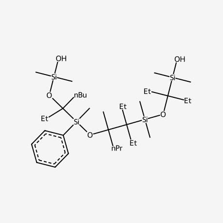 CCCCC(CC)(O[Si](C)(C)O)[Si](C)(OC(C)(CCC)C(CC)(CC)[Si](C)(C)OC(CC)(CC)[Si](C)(C)O)c1ccccc1